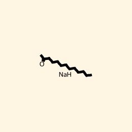 CCCCCCCCCCCC(C)=O.[NaH]